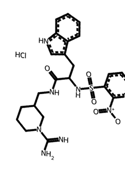 Cl.N=C(N)N1CCCC(CNC(=O)C(Cc2c[nH]c3ccccc23)NS(=O)(=O)c2ccccc2[N+](=O)[O-])C1